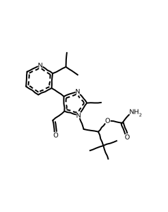 Cc1nc(-c2cccnc2C(C)C)c(C=O)n1CC(OC(N)=O)C(C)(C)C